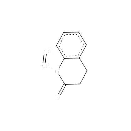 C=C.O=C1CCc2ccccc2O1